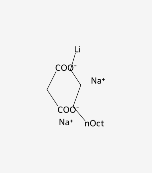 O=C([O-])CC(=O)[O-].[Li][CH2]CCCCCCCCCC.[Na+].[Na+]